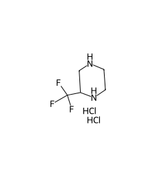 Cl.Cl.FC(F)(F)C1CNCCN1